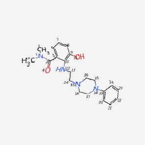 CN(C)C(=O)c1cccc(O)c1NCCN1CCN(c2ccccc2)CC1